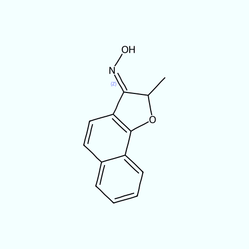 CC1Oc2c(ccc3ccccc23)/C1=N/O